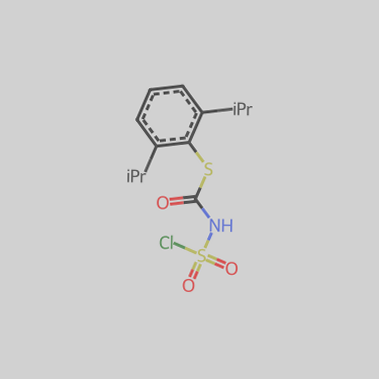 CC(C)c1cccc(C(C)C)c1SC(=O)NS(=O)(=O)Cl